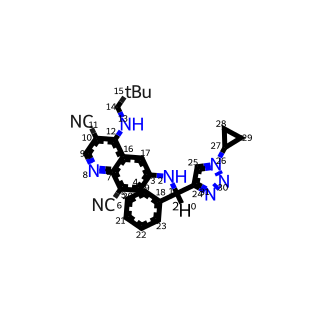 [2H]C(Nc1cc(C#N)c2ncc(C#N)c(NCC(C)(C)C)c2c1)(c1ccccc1)c1cn(C2CC2)nn1